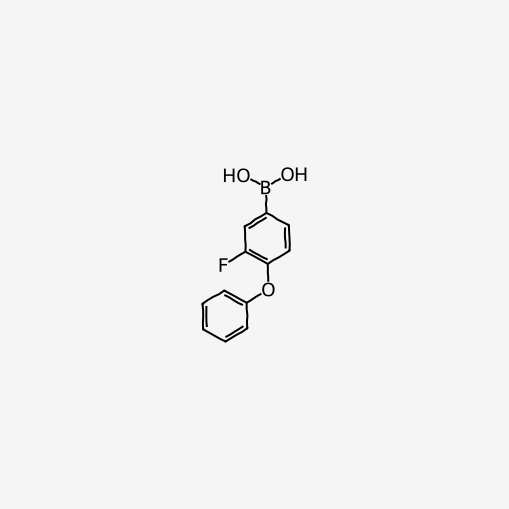 OB(O)c1ccc(Oc2ccccc2)c(F)c1